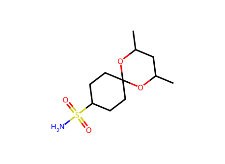 CC1CC(C)OC2(CCC(S(N)(=O)=O)CC2)O1